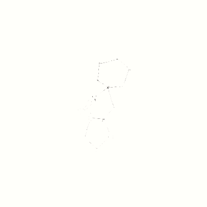 [C-]#[N+]C1(CC2OCCO2)CCCCC1